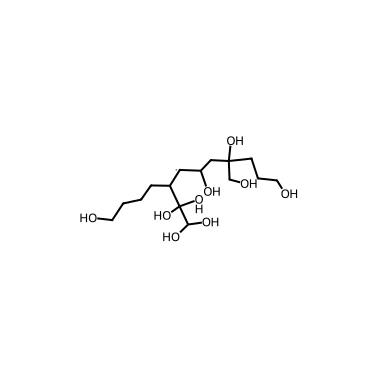 OCCCCC([CH]C(O)CC(O)(CO)CCCO)C(O)(O)C(O)O